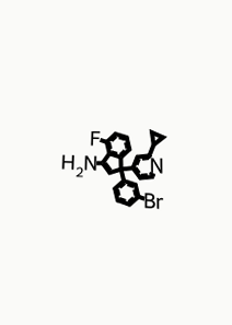 NC1=CC(c2cccc(Br)c2)(c2ccnc(C3CC3)c2)c2cccc(F)c21